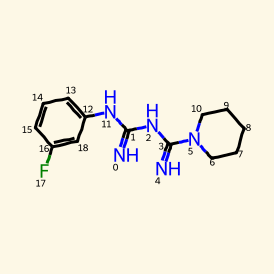 N=C(NC(=N)N1CCCCC1)Nc1cccc(F)c1